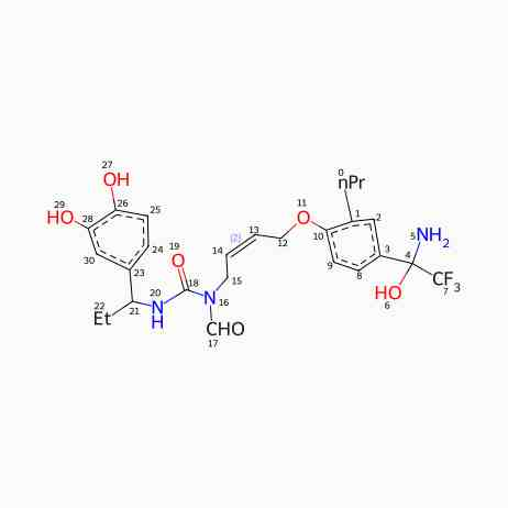 CCCc1cc(C(N)(O)C(F)(F)F)ccc1OC/C=C\CN(C=O)C(=O)NC(CC)c1ccc(O)c(O)c1